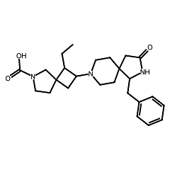 CCC1C(N2CCC3(CC2)CC(=O)NC3Cc2ccccc2)CC12CCN(C(=O)O)C2